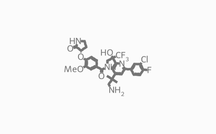 COc1cc(C(=O)NCC(O)(c2cc(C(C)(C)CN)cc(-c3ccc(F)c(Cl)c3)n2)C(F)(F)F)ccc1O[C@H]1CCNC1=O